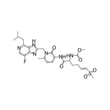 COC(=O)NC(CCC=CS(C)(=O)=O)C(=O)Nc1ccc(C)n(Cc2nc3c(F)cnc(CC(C)C)c3[nH]2)c1=O